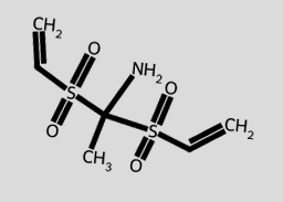 C=CS(=O)(=O)C(C)(N)S(=O)(=O)C=C